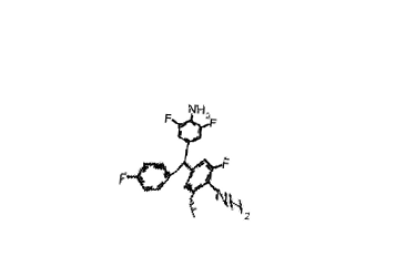 Nc1c(F)cc(C(c2ccc(F)cc2)c2cc(F)c(N)c(F)c2)cc1F